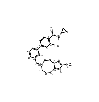 O=C(NC1CC1)c1ccc(-c2cccc(CN3CCOc4nc([N+](=O)[O-])cn4CC3)n2)cc1F